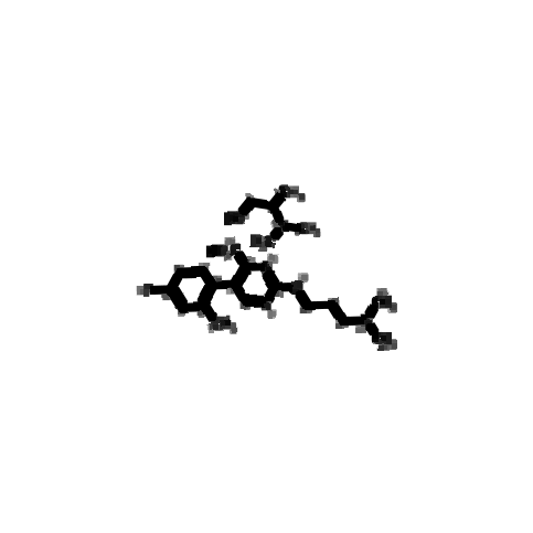 CC(CO)N(C)C.Cc1cc(F)ccc1-c1cnc(OCCCN(C)C)nc1C(=O)O